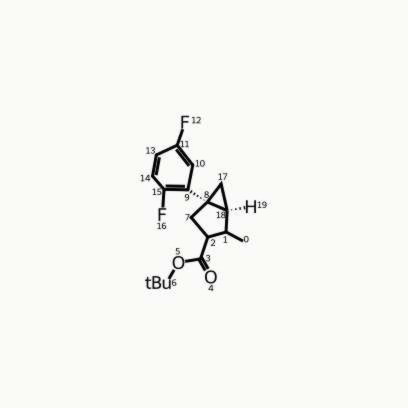 CC1C(C(=O)OC(C)(C)C)C[C@@]2(c3cc(F)ccc3F)C[C@@H]12